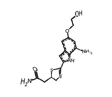 NC(=O)CC1CN=C(c2cc3cc(OCCO)cc(N)c3[nH]2)S1